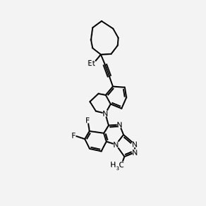 CCC1(C#Cc2cccc3c2CCCN3c2nc3nnc(C)n3c3ccc(F)c(F)c23)CCCCCCCC1